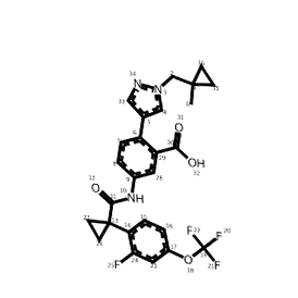 CC1(Cn2cc(-c3ccc(NC(=O)C4(c5ccc(OC(F)(F)F)cc5F)CC4)cc3C(=O)O)cn2)CC1